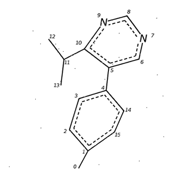 Cc1ccc(-c2cncnc2C(C)C)cc1